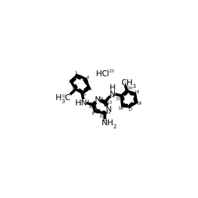 Cc1ccccc1Nc1cc(N)nc(Nc2ccccc2C)n1.Cl